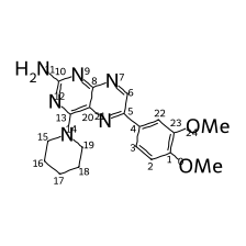 COc1ccc(-c2cnc3nc(N)nc(N4CCCCC4)c3n2)cc1OC